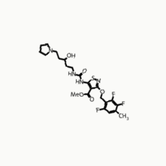 COC(=O)c1c(OCc2c(F)cc(C)c(F)c2F)nsc1NC(=O)NCCC(O)CCN1CCCC1